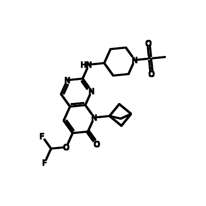 CS(=O)(=O)N1CCC(Nc2ncc3cc(OC(F)F)c(=O)n(C45CC(C4)C5)c3n2)CC1